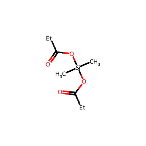 CCC(=O)O[Si](C)(C)OC(=O)CC